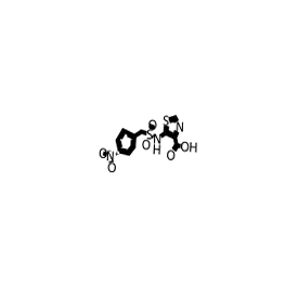 O=C(O)c1ncsc1NS(=O)(=O)Cc1ccc([N+](=O)[O-])cc1